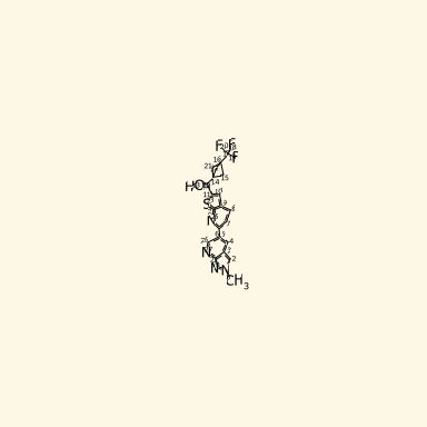 Cn1cc2cc(-c3ccc4cc([C@@H](O)C56CC(C(F)(F)F)(C5)C6)sc4n3)cnc2n1